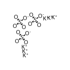 O=S(=O)([O-])[O-].O=S(=O)([O-])[O-].O=S(=O)([O-])[O-].[K+].[K+].[K+].[K+].[K+].[K+]